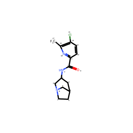 O=C(NC1CC2CCN(C2)C1)c1ccc(Cl)c(C(F)(F)F)n1